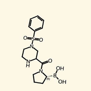 O=C(C1CN(S(=O)(=O)c2ccccc2)CCN1)N1CCC[C@H]1B(O)O